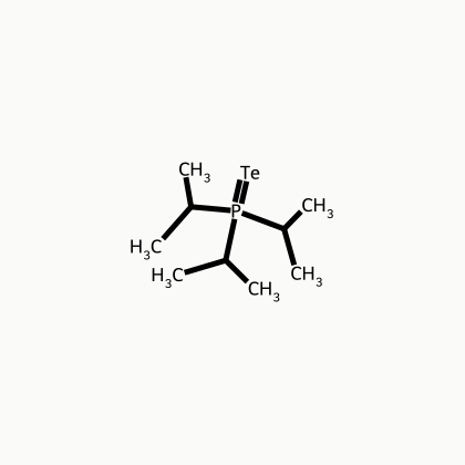 CC(C)P(=[Te])(C(C)C)C(C)C